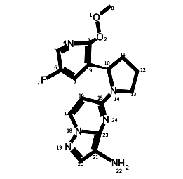 COOc1ncc(F)cc1[C@H]1CCCN1c1ccn2ncc(N)c2n1